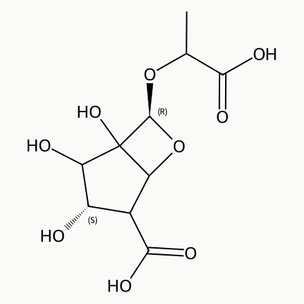 CC(O[C@H]1OC2C(C(=O)O)[C@H](O)C(O)C21O)C(=O)O